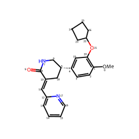 COc1ccc([C@H]2CNC(=O)/C(=C/c3ccccn3)C2)cc1OC1CCCC1